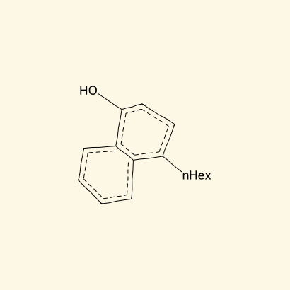 CCCCCCc1ccc(O)c2ccccc12